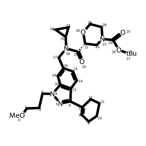 COCCCn1nc(C2=CCCCC2)c2ccc(CN(C(=O)[C@H]3CN(C(=O)OC(C)(C)C)CCO3)C3CC3)cc21